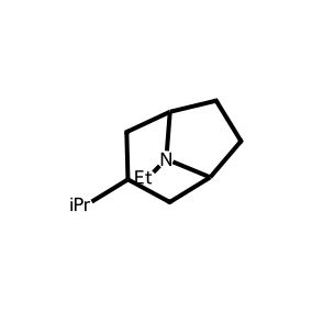 CCN1C2CCC1CC(C(C)C)C2